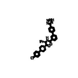 CC(C)[C@@H](NC(=O)c1cccc(-c2ccc(-c3nn[nH]n3)cc2)c1)C(=O)N1CCC(c2ccc(Cl)cc2)CC1